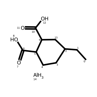 CCC1CCC(C(=O)O)C(C(=O)O)C1.[AlH3]